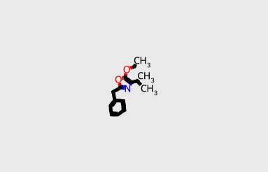 CCOc1oc(Cc2ccccc2)nc1C(C)C